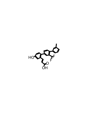 Cc1cccc(-c2ccc(-c3ccc(O)cc3/C=C/C(=O)O)cc2C(F)F)c1